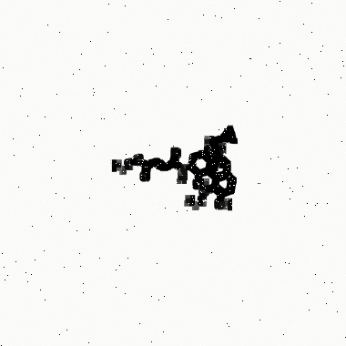 COC(=O)/C=C/C(=O)N[C@@H]1CC[C@@]2(O)[C@H]3Cc4ccc(O)c(OC)c4[C@@]2(CCN3CC2CC2)C1C